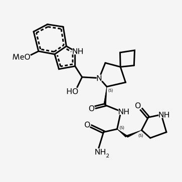 COc1cccc2[nH]c(C(O)N3CC4(CCC4)C[C@H]3C(=O)N[C@@H](C[C@@H]3CCNC3=O)C(N)=O)cc12